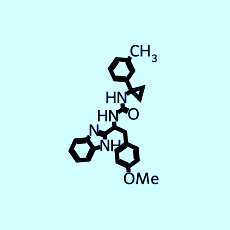 COc1ccc(CC(NC(=O)NC2(c3cccc(C)c3)CC2)c2nc3ccccc3[nH]2)cc1